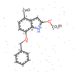 CCOC(=O)Oc1cc2c(C=O)ccc(OCc3ccccc3)c2[nH]1